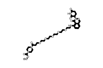 CC(C)(C)OC(=O)N1CCN(C(=O)CCOCCOCCOCCOCCOCCNc2cccc3cnn(C4CCC(=O)NC4=O)c(=O)c23)CC1